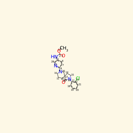 COC(=O)Nc1ccc(N2CCC[C@]3(CCN(c4ccccc4Cl)C3=O)C2)nc1